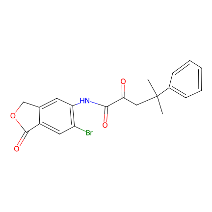 CC(C)(CC(=O)C(=O)Nc1cc2c(cc1Br)C(=O)OC2)c1ccccc1